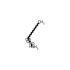 CCCCCCCCCCCCCCCC(=O)OC(=O)CNC(=O)CN